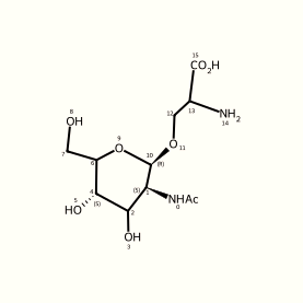 CC(=O)N[C@H]1C(O)[C@H](O)C(CO)O[C@H]1OCC(N)C(=O)O